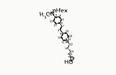 CCCCCCN(C)c1ccc(C=Cc2cc[n+](CCCSOO)cc2)cc1